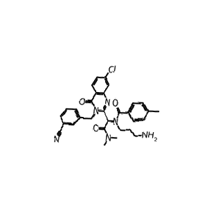 Cc1ccc(C(=O)N(CCCN)C(C(=O)N(C)C)c2nc3cc(Cl)ccc3c(=O)n2Cc2cccc(C#N)c2)cc1